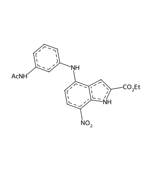 CCOC(=O)c1cc2c(Nc3cccc(NC(C)=O)c3)ccc([N+](=O)[O-])c2[nH]1